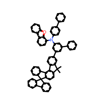 CC1(C)c2cc(-c3cc(-c4ccccc4)cc(N(c4ccc(-c5ccccc5)cc4)c4cccc5c4oc4ccccc45)c3)ccc2-c2c1ccc1c2-c2ccccc2C12c1ccccc1-c1ccccc12